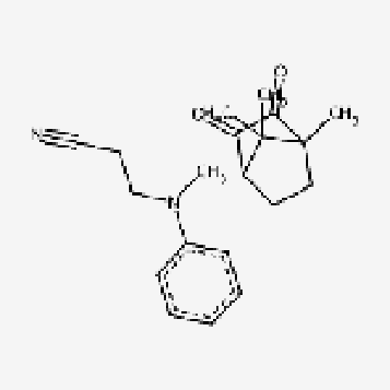 CC12CCC(C(=O)C1=O)C2(C)C.CN(CCC#N)c1ccccc1